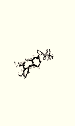 Cn1ncc2c3ccc(OS(=O)(=O)C(F)(F)F)cc3nc(N)c21